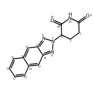 O=C1CCC(n2nc3cc4ccccc4cc3n2)C(=O)N1